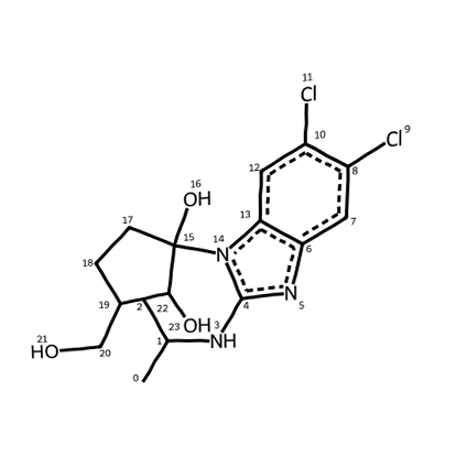 CC(C)Nc1nc2cc(Cl)c(Cl)cc2n1C1(O)CCC(CO)C1O